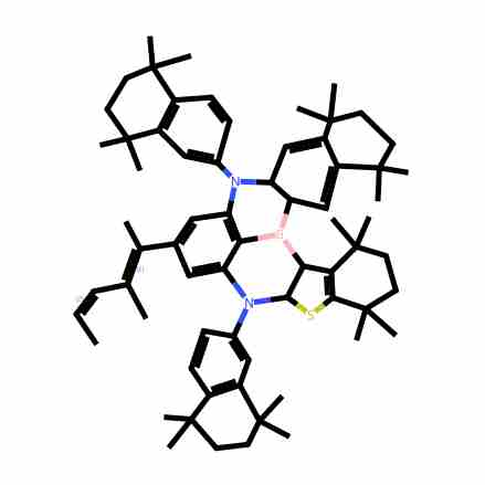 C/C=C\C(C)=C(/C)c1cc2c3c(c1)N(c1ccc4c(c1)C(C)(C)CCC4(C)C)C1SC4=C(C1B3C1C=C3C(=CC1N2c1ccc2c(c1)C(C)(C)CCC2(C)C)C(C)(C)CCC3(C)C)C(C)(C)CCC4(C)C